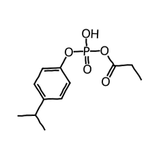 CCC(=O)OP(=O)(O)Oc1ccc(C(C)C)cc1